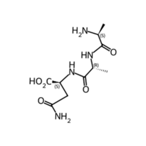 C[C@H](N)C(=O)N[C@H](C)C(=O)N[C@@H](CC(N)=O)C(=O)O